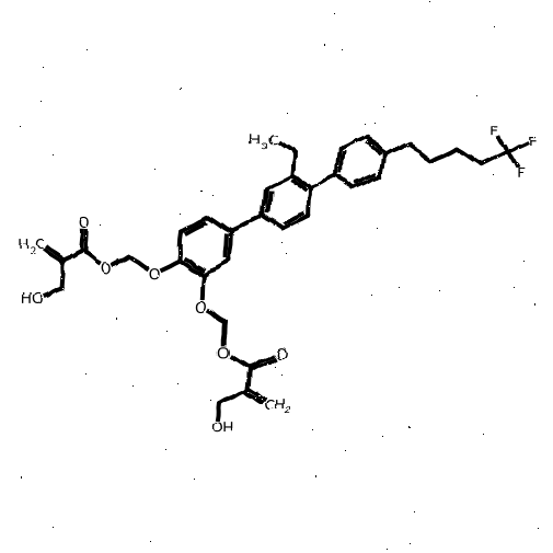 C=C(CO)C(=O)OCOc1ccc(-c2ccc(-c3ccc(CCCCC(F)(F)F)cc3)c(CC)c2)cc1OCOC(=O)C(=C)CO